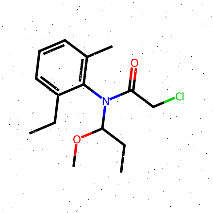 CCc1cccc(C)c1N(C(=O)CCl)C(CC)OC